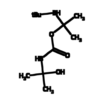 CC(C)(C)BC(C)(C)OC(=O)BC(C)(C)O